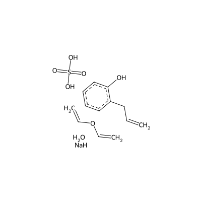 C=CCc1ccccc1O.C=COC=C.O.O=S(=O)(O)O.[NaH]